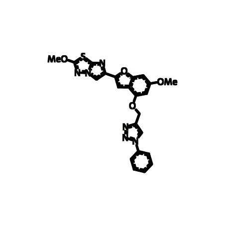 COc1cc(OCc2cn(-c3ccccc3)nn2)c2cc(-c3cn4nc(OC)sc4n3)oc2c1